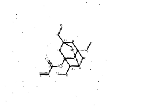 C=CC(=O)OC12CC3(CC)CC(CC(CC)(C3)C1)C2CC